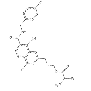 CC(C)C(N)C(=O)OCCCc1cc(F)c2ncc(C(=O)NCc3ccc(Cl)cc3)c(O)c2c1